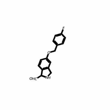 O=CC1NCc2cc(OCc3ccc(F)cc3)ccc21